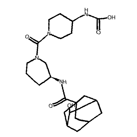 O=C(O)NC1CCN(C(=O)N2CCC[C@H](NC(=O)C34CC5CC(C3)C(O)C(C5)C4)C2)CC1